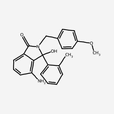 COc1ccc(CN2C(=O)c3cccc(N)c3C2(O)c2ccccc2C)cc1